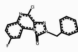 O=c1n(Cc2ccccc2)nc2c(Cl)nc3ccc(F)cc3n12